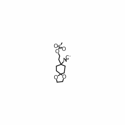 [C-]#[N+]C1(CCOS(C)(=O)=O)CCC2(CC1)OCCO2